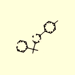 CC(O)(c1ccncc1)c1noc(-c2ccc(F)cc2)n1